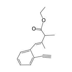 C#Cc1ccccc1/C=C(\C)C(C)C(=O)OCC